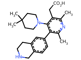 Cc1nc(C)c(-c2ccc3c(c2)CCNC3)c(N2CCC(C)(C)CC2)c1CC(=O)O